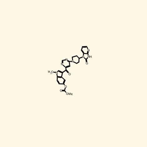 COC(=O)Oc1ccc2c(c1)c(C(=O)c1cc(N3CCC(n4c(=O)[nH]c5ncccc54)CC3)ncn1)cn2C